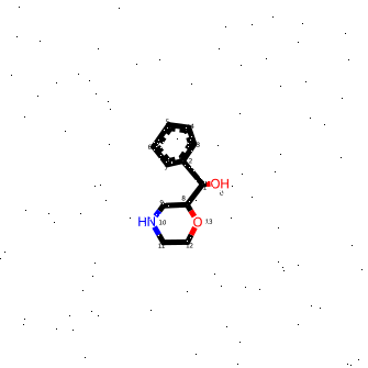 OC(c1ccccc1)C1CNCCO1